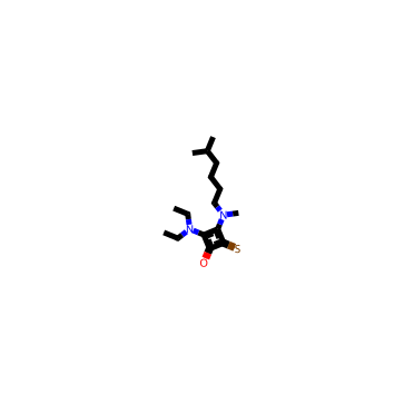 CCN(CC)c1c(N(C)CCCCC(C)C)c(=S)c1=O